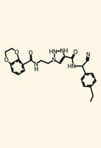 CCc1ccc(C(C#N)NC(=O)C2=CN(CCNC(=O)c3cccc4c3OCCO4)NN2)cc1